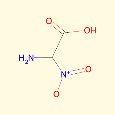 NC(C(=O)O)[N+](=O)[O-]